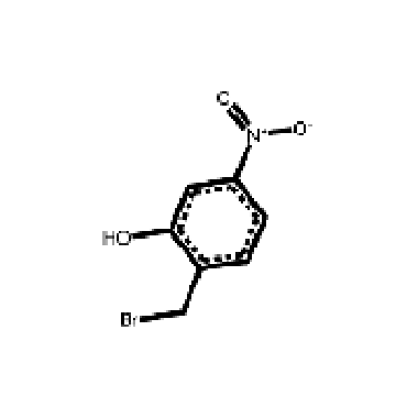 O=[N+]([O-])c1ccc(CBr)c(O)c1